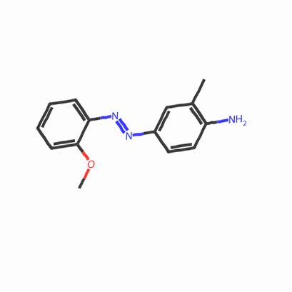 COc1ccccc1/N=N/c1ccc(N)c(C)c1